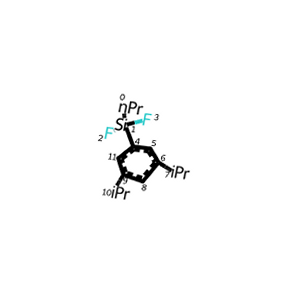 CCC[Si](F)(F)c1cc(C(C)C)cc(C(C)C)c1